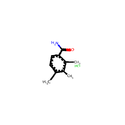 Cc1ccc(C(N)=O)c(C)c1C.Cl